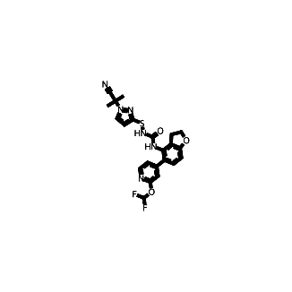 CC(C)(C#N)n1ccc(SNC(=O)Nc2c(-c3ccnc(OC(F)F)c3)ccc3c2CCO3)n1